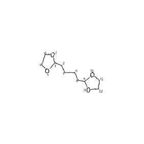 C(CCC1OCCO1)CC1OCCO1